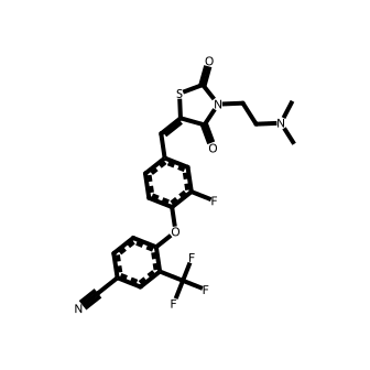 CN(C)CCN1C(=O)SC(=Cc2ccc(Oc3ccc(C#N)cc3C(F)(F)F)c(F)c2)C1=O